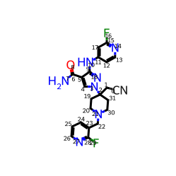 N#CCC1(n2cc(C(N)=O)c(Nc3ccnc(F)c3)n2)CCN(Cc2cccnc2F)CC1